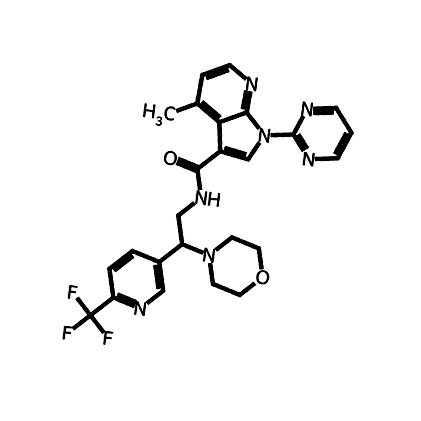 Cc1ccnc2c1c(C(=O)NCC(c1ccc(C(F)(F)F)nc1)N1CCOCC1)cn2-c1ncccn1